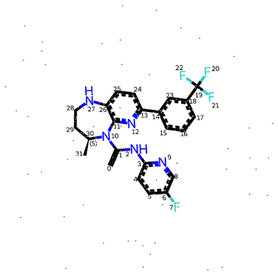 C=C(Nc1ccc(F)cn1)N1c2nc(-c3cccc(C(F)(F)F)c3)ccc2NCC[C@@H]1C